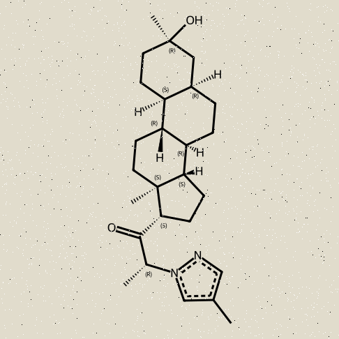 Cc1cnn([C@H](C)C(=O)[C@H]2CC[C@H]3[C@@H]4CC[C@@H]5C[C@](C)(O)CC[C@@H]5[C@H]4CC[C@]23C)c1